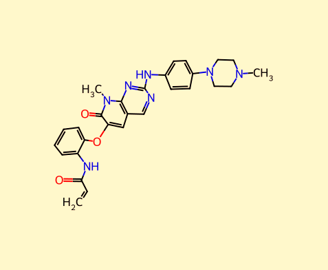 C=CC(=O)Nc1ccccc1Oc1cc2cnc(Nc3ccc(N4CCN(C)CC4)cc3)nc2n(C)c1=O